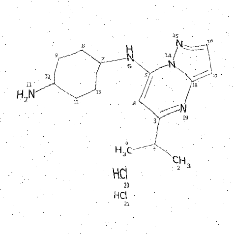 CC(C)c1cc(NC2CCC(N)CC2)n2nccc2n1.Cl.Cl